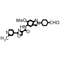 COc1cc2nn(C3CCC(C=O)CC3)cc2cc1NC(=O)c1coc(-c2ccnc(C)c2)n1